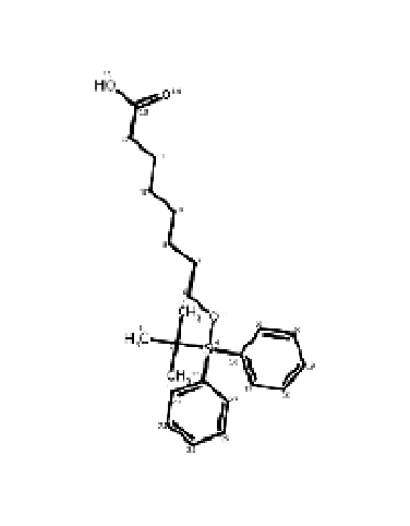 CC(C)(C)[Si](OCCCCCCCC(=O)O)(c1ccccc1)c1ccccc1